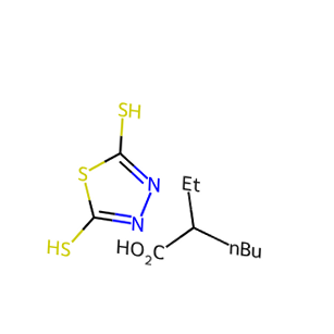 CCCCC(CC)C(=O)O.Sc1nnc(S)s1